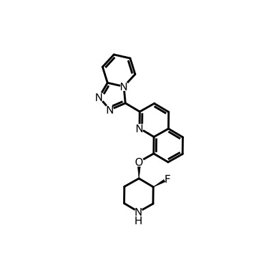 F[C@H]1CNCC[C@H]1Oc1cccc2ccc(-c3nnc4ccccn34)nc12